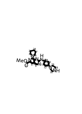 COC(=O)c1cc2cnc(Nc3ccc(N4CCNCC4)cn3)nc2c(N2CCCCC2)n1